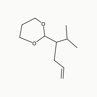 C=CCC(C(C)C)C1OCCCO1